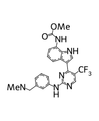 CNCc1cccc(Nc2ncc(C(F)(F)F)c(-c3c[nH]c4c(NC(=O)OC)cccc34)n2)c1